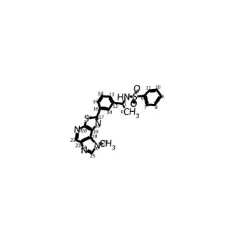 C[C@H](NS(=O)(=O)c1ccccc1)c1cccc(-c2nc3c(ncc4ncn(C)c43)s2)c1